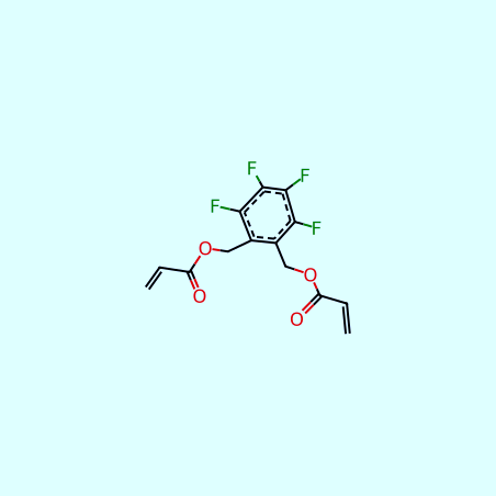 C=CC(=O)OCc1c(F)c(F)c(F)c(F)c1COC(=O)C=C